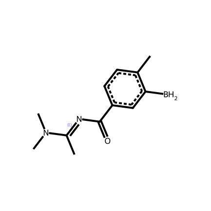 Bc1cc(C(=O)/N=C(\C)N(C)C)ccc1C